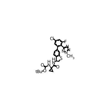 Cn1nnc(-c2c(F)cc(Cl)cc2-c2ccc3c(c2)SCC3NC(=O)C2(NC(=O)OC(C)(C)C)CC2)n1